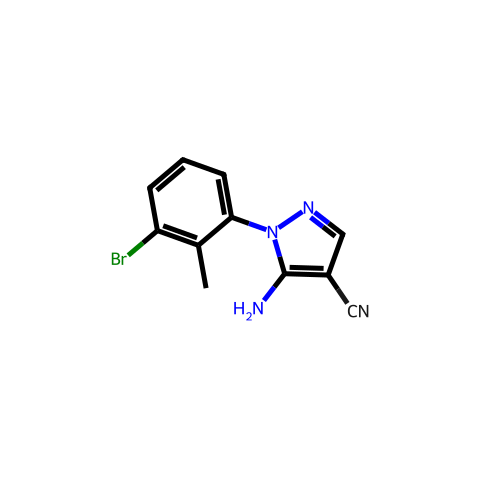 Cc1c(Br)cccc1-n1ncc(C#N)c1N